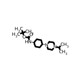 CC(C)N1CCN([C@H]2CC[C@@H](NC(=O)OC(C)(C)C)CC2)CC1